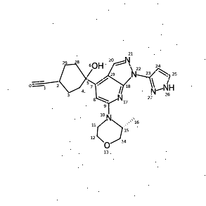 C#CC1CCC(O)(c2cc(N3CCOC[C@H]3C)nc3c2cnn3-c2cc[nH]n2)CC1